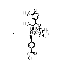 COC(=O)c1ccc(C#CCCC(N)C(O[Si](C)(C)C(C)(C)C)c2cnc(Cl)c(C)c2)cc1